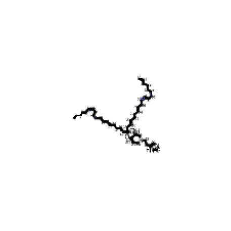 CCCCC/C=C\C/C=C\CCCCCCCCC1(CCCCCCCC/C=C\C/C=C\CCCCC)O[C@H]2CCN(CCc3cnc[nH]3)C[C@H]2O1